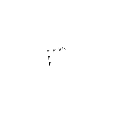 [F-].[F-].[F-].[F-].[V+4]